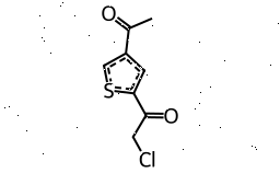 CC(=O)c1csc(C(=O)CCl)c1